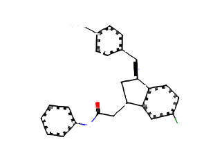 CSc1ccc(/C=C2\CC(CC(=O)Nc3ccccc3)c3cc(F)ccc32)cc1